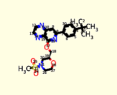 CC(C)(C)c1ccc(-c2cc3nccnc3c(OC[C@@H]3CN(S(C)(=O)=O)CCO3)n2)cc1